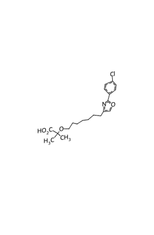 CC(C)(OCCCCCCCc1coc(-c2ccc(Cl)cc2)n1)C(=O)O